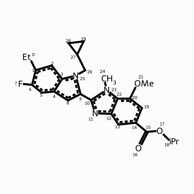 CCc1cc2c(cc1F)cc(-c1nc3cc(C(=O)OC(C)C)cc(OC)c3n1C)n2CC1CC1